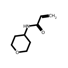 C=CC(=O)NC1CCOCC1